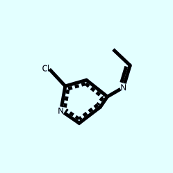 C/C=N\c1ccnc(Cl)c1